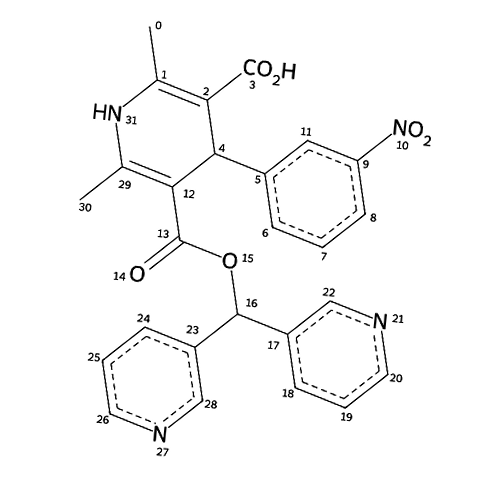 CC1=C(C(=O)O)C(c2cccc([N+](=O)[O-])c2)C(C(=O)OC(c2cccnc2)c2cccnc2)=C(C)N1